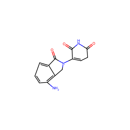 Nc1cccc2c1CN(C1=CCC(=O)NC1=O)C2=O